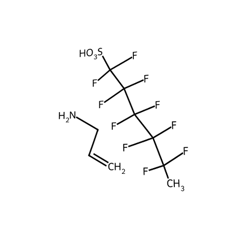 C=CCN.CC(F)(F)C(F)(F)C(F)(F)C(F)(F)C(F)(F)S(=O)(=O)O